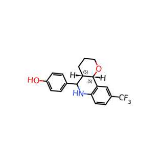 Oc1ccc(C2Nc3ccc(C(F)(F)F)cc3[C@H]3OCCC[C@@H]23)cc1